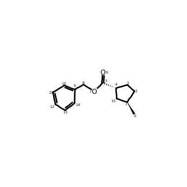 C[C@@H]1CC[C@@H](C(=O)OCc2ccccc2)C1